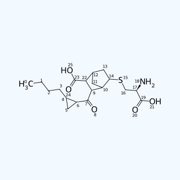 CCCCC1CC1C(=O)C1C2CC(CC2SC[C@@H](N)C(=O)O)C1C(=O)O